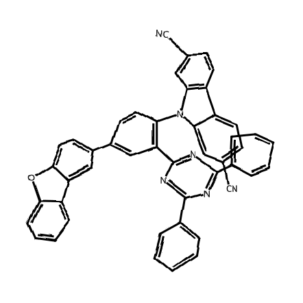 N#Cc1ccc2c3ccc(C#N)cc3n(-c3ccc(-c4ccc5oc6ccccc6c5c4)cc3-c3nc(-c4ccccc4)nc(-c4ccccc4)n3)c2c1